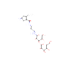 CNC1CC(N)CC1C(=O)NCCCNC(O)C(O)C(OC1OC(CO)C(O)C(O)C1O)C(O)CO